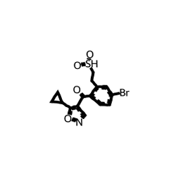 O=C(c1ccc(Br)cc1CC[SH](=O)=O)c1cnoc1C1CC1